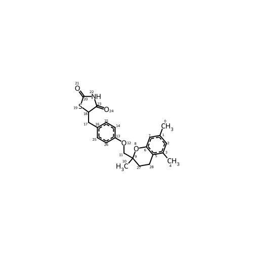 Cc1cc(C)c2c(c1)OC(C)(COc1ccc(CC3SC(=O)NC3=O)cc1)CC2